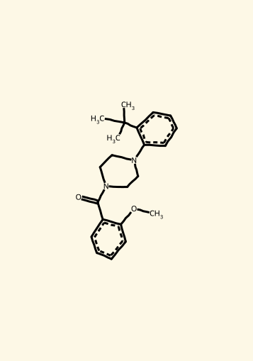 COc1ccccc1C(=O)N1CCN(c2ccccc2C(C)(C)C)CC1